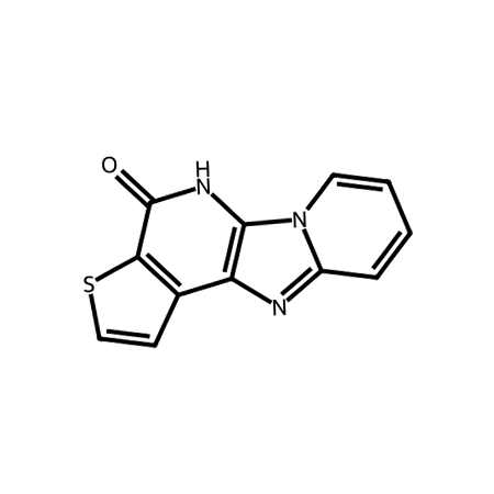 O=c1[nH]c2c(nc3ccccn32)c2ccsc12